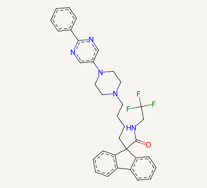 O=C(NCC(F)(F)F)C1(CCCCN2CCN(c3cnc(-c4ccccc4)nc3)CC2)c2ccccc2-c2ccccc21